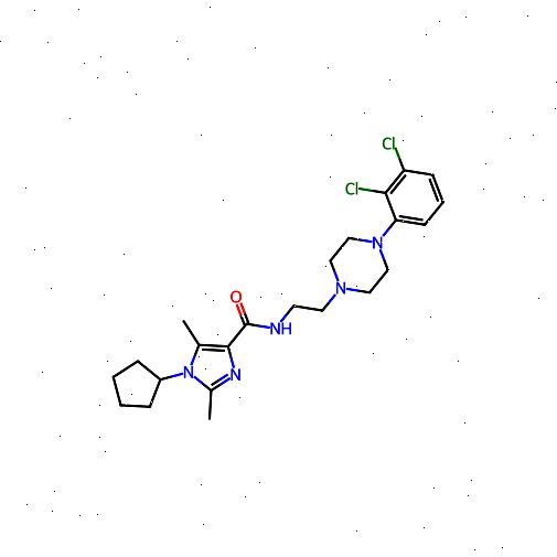 Cc1nc(C(=O)NCCN2CCN(c3cccc(Cl)c3Cl)CC2)c(C)n1C1CCCC1